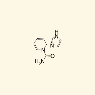 NC(=O)N1C=CC=CC1.c1c[nH]cn1